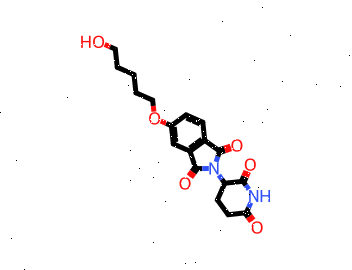 O=C1CCC(N2C(=O)c3ccc(OCCCCCO)cc3C2=O)C(=O)N1